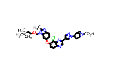 Cc1nc2ccc(Oc3ccc4ncc(-c5cnn(C6CC7CC6CN7C(=O)O)c5)nc4c3Cl)cc2n1COCC[Si](C)(C)C